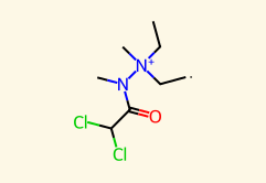 [CH2]C[N+](C)(CC)N(C)C(=O)C(Cl)Cl